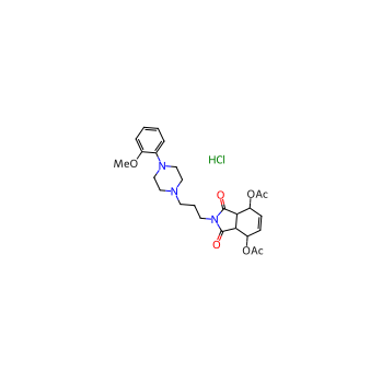 COc1ccccc1N1CCN(CCCN2C(=O)C3C(OC(C)=O)C=CC(OC(C)=O)C3C2=O)CC1.Cl